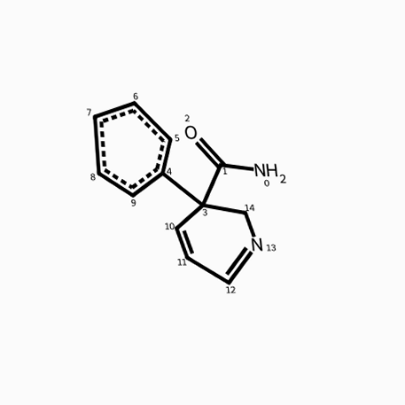 NC(=O)C1(c2ccccc2)C=CC=NC1